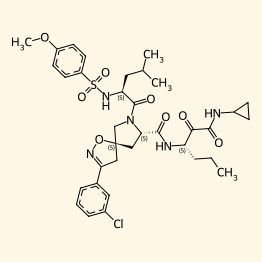 CCC[C@H](NC(=O)[C@@H]1C[C@]2(CC(c3cccc(Cl)c3)=NO2)CN1C(=O)[C@H](CC(C)C)NS(=O)(=O)c1ccc(OC)cc1)C(=O)C(=O)NC1CC1